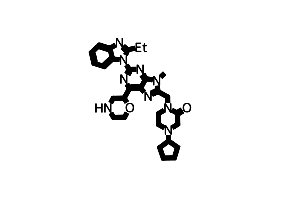 CCc1nc2ccccc2n1-c1nc(C2CNCCO2)c2nc(CN3CCN(C4CCCC4)CC3=O)n(C)c2n1